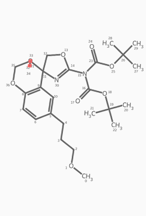 COCCCc1ccc2c(c1)C1(COC(N(C(=O)OC(C)(C)C)C(=O)OC(C)(C)C)=N1)C1(COC1)CO2